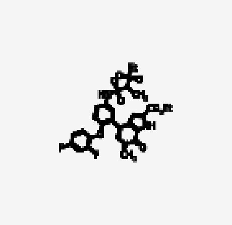 CCOC(=O)c1cc2c(-c3cc(NS(=O)(=O)C(C)S(=O)(=O)CC)ccc3Oc3ccc(F)cc3F)cn(C)c(=O)c2[nH]1